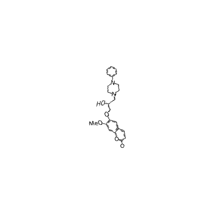 COc1cc2oc(=O)ccc2cc1OCC(O)CN1CCN(c2ccccc2)CC1